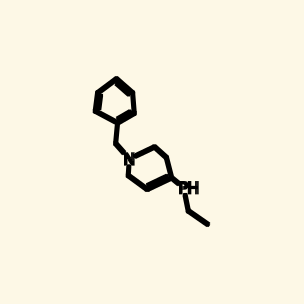 CCPC1=CCN(Cc2ccccc2)CC1